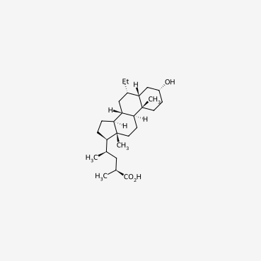 CC[C@H]1C[C@@H]2[C@H](CC[C@]3(C)[C@@H]([C@H](C)C[C@H](C)C(=O)O)CC[C@@H]23)[C@@]2(C)CC[C@@H](O)C[C@@H]12